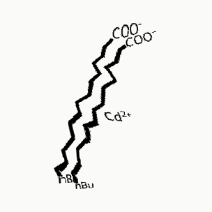 CCCCC=CC=CC=CCCCCCCCC(=O)[O-].CCCCC=CC=CC=CCCCCCCCC(=O)[O-].[Cd+2]